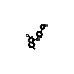 Fc1ccc2nc(Cl)nc(Nc3ccc(-c4cn[nH]c4)cc3)c2c1